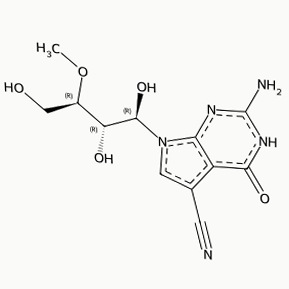 CO[C@H](CO)[C@@H](O)[C@@H](O)n1cc(C#N)c2c(=O)[nH]c(N)nc21